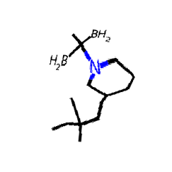 BC(B)(C)N1CCCC(CC(C)(C)C)C1